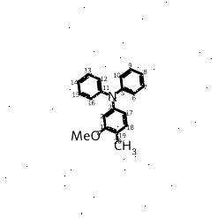 COc1cc(N(c2ccccc2)c2ccccc2)ccc1C